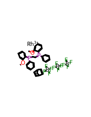 C1=CC2C=CC1C2.COc1ccccc1P(CCP(c1ccccc1)c1ccccc1OC)c1ccccc1.F[B-](F)(F)F.F[B-](F)(F)F.F[B-](F)(F)F.[Rh+3]